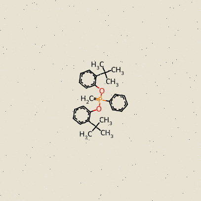 C=P(Oc1ccccc1C(C)(C)C)(Oc1ccccc1C(C)(C)C)c1ccccc1